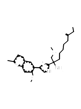 CCC(=O)CCCCCC(N)(COC)c1nc(-c2cc3ccc(C)nc3cc2OC)c[nH]1